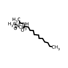 CCCCCCCCCCCC(=O)NC(C)[N+](C)(C)[O-]